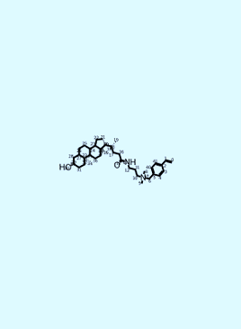 C=Cc1ccc(C[N+](C)(C)CCCNC(=O)CC[C@@H](C)[C@H]2CCC3C4CCC5C[C@H](O)CC[C@]5(C)C4CC[C@@]32C)cc1